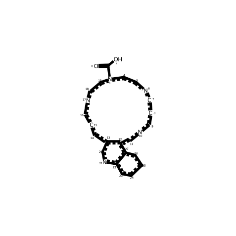 O=C(O)n1ccncccncc2c(cccncc1)cnc1ccccc12